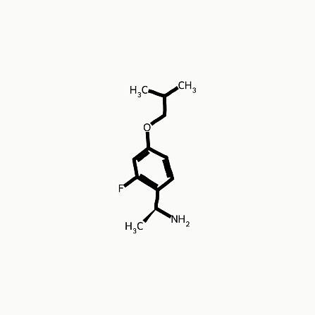 CC(C)COc1ccc([C@H](C)N)c(F)c1